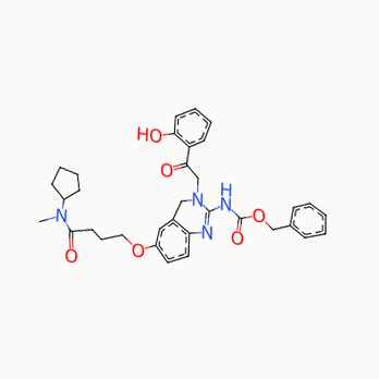 CN(C(=O)CCCOc1ccc2c(c1)CN(CC(=O)c1ccccc1O)C(NC(=O)OCc1ccccc1)=N2)C1CCCC1